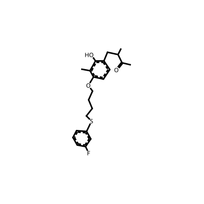 CC(=O)C(C)Cc1ccc(OCCCCSc2cccc(F)c2)c(C)c1O